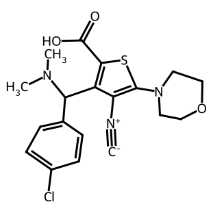 [C-]#[N+]c1c(N2CCOCC2)sc(C(=O)O)c1C(c1ccc(Cl)cc1)N(C)C